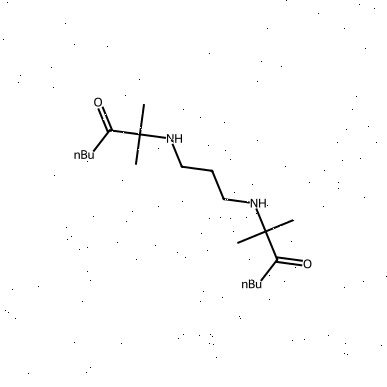 CCCCC(=O)C(C)(C)NCCCNC(C)(C)C(=O)CCCC